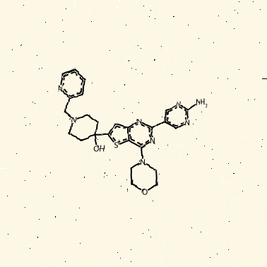 Nc1ncc(-c2nc(N3CCOCC3)c3sc(C4(O)CCN(Cc5ccccn5)CC4)cc3n2)cn1